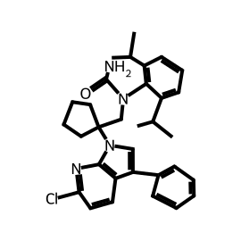 CC(C)c1cccc(C(C)C)c1N(CC1(n2cc(-c3ccccc3)c3ccc(Cl)nc32)CCCC1)C(N)=O